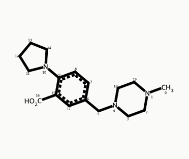 CN1CCN(Cc2ccc(N3CCCC3)c(C(=O)O)c2)CC1